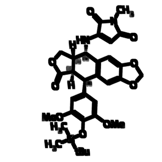 COc1cc([C@@H]2c3cc4c(cc3[C@@H](NC3=CC(=O)N(C)C3=O)[C@H]3COC(=O)[C@H]23)OCO4)cc(OC)c1O[Si](C)(C)C(C)(C)C